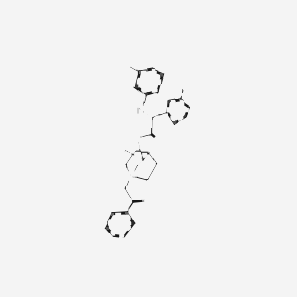 O=C(C[N+]12CCC(CC1)[C@@H](OC(=O)[C@H](Nc1cccc(F)c1)c1cccc(F)c1)C2)c1ccccc1